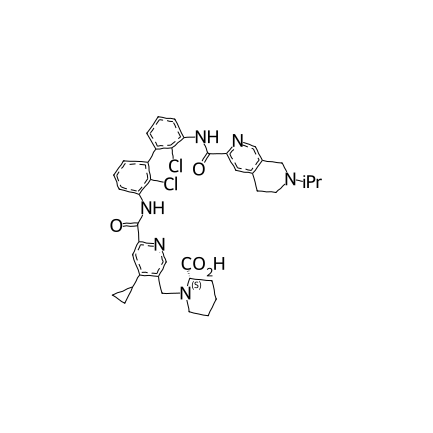 CC(C)N1CCc2cc(C(=O)Nc3cccc(-c4cccc(NC(=O)c5cc(C6CC6)c(CN6CCCC[C@H]6C(=O)O)cn5)c4Cl)c3Cl)ncc2C1